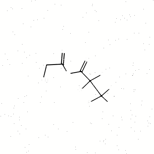 CCC(=O)OC(=O)C(F)(Cl)C(F)(F)F